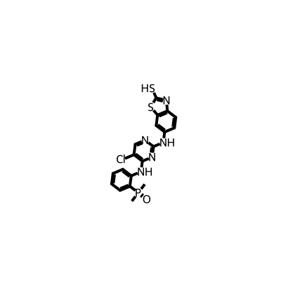 CP(C)(=O)c1ccccc1Nc1nc(Nc2ccc3nc(S)sc3c2)ncc1Cl